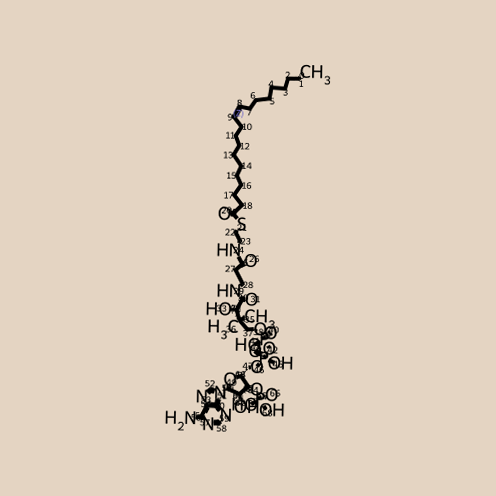 CCCCCCCC/C=C\CCCCCCCCCC(=O)SCCNC(=O)CCNC(=O)[C@H](O)C(C)(C)COP(=O)(O)OP(=O)(O)OC[C@H]1O[C@@H](n2cnc3c(N)ncnc32)[C@H](O)[C@@H]1OP(=O)(O)O